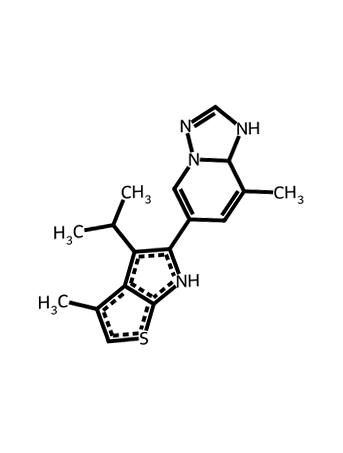 CC1=CC(c2[nH]c3scc(C)c3c2C(C)C)=CN2N=CNC12